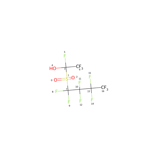 O=S(=O)(C(O)(F)C(F)(F)F)C(F)(F)C(F)(F)C(F)(F)C(F)(F)F